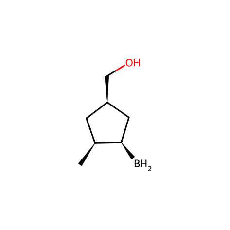 B[C@@H]1C[C@H](CO)C[C@@H]1C